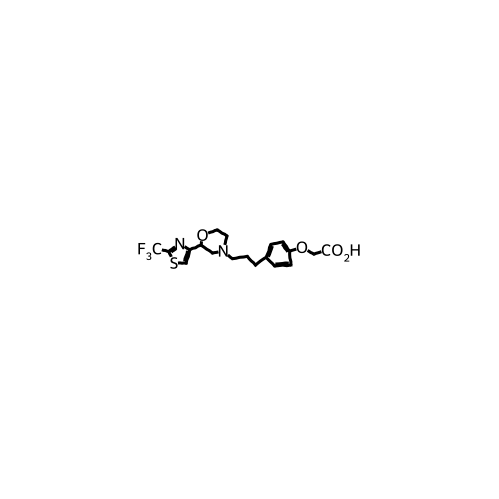 O=C(O)COc1ccc(CCCN2CCOC(c3csc(C(F)(F)F)n3)C2)cc1